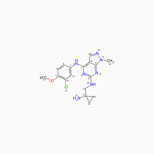 COc1ccc(Nc2nc(NCC3(N)CC3)nc3c2cnn3C)cc1Cl